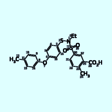 CCN(Sc1ccc(Oc2ccc(C)cc2)cc1)S(=O)(=O)c1ccc(C)c(C(=O)O)c1